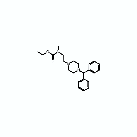 CCOC(=O)N(C)CCN1CCN(C(c2ccccc2)c2ccccc2)CC1